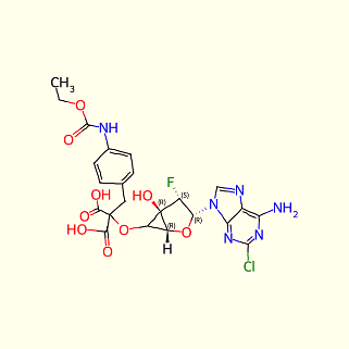 CCOC(=O)Nc1ccc(CC(OC2[C@H]3O[C@@H](n4cnc5c(N)nc(Cl)nc54)[C@@H](F)[C@@]23O)(C(=O)O)C(=O)O)cc1